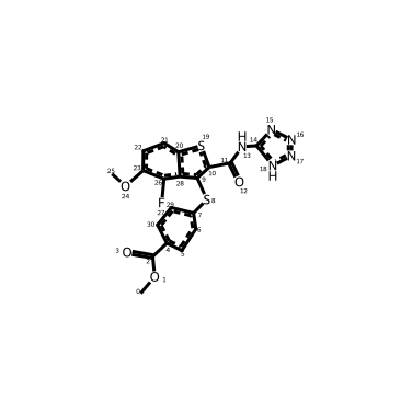 COC(=O)c1ccc(Sc2c(C(=O)Nc3nnn[nH]3)sc3ccc(OC)c(F)c23)cc1